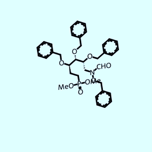 COP(=O)(CC[C@@H](OCc1ccccc1)[C@H](OCc1ccccc1)[C@@H](CN(C=O)OCc1ccccc1)OCc1ccccc1)OC